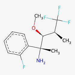 CO[C@@H]([C@H](C)C(F)(F)F)[C@](C)(N)c1ccccc1F